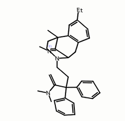 C=C(N(C)C)C(CCN1CCC2(C)/C(=N\C)C1Cc1ccc(CC)cc12)(c1ccccc1)c1ccccc1